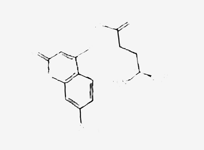 Cc1cc(=O)oc2cc(N)ccc12.Cl.NC(=O)CC[C@H](N)C(=O)O